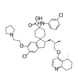 C[C@@H](COc1ccnc2c1[C@H](C)CCC2)C[C@H]1Cc2cc(Cl)c(OCCN3CCCC3)cc2C12CCC(Nc1cccc(Cl)c1)(C(=O)O)CC2